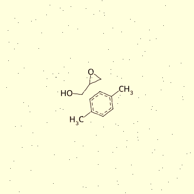 Cc1ccc(C)cc1.OCC1CO1